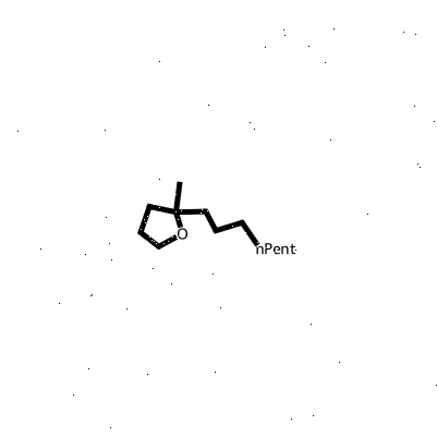 CCCCCCCCC1(C)CCCO1